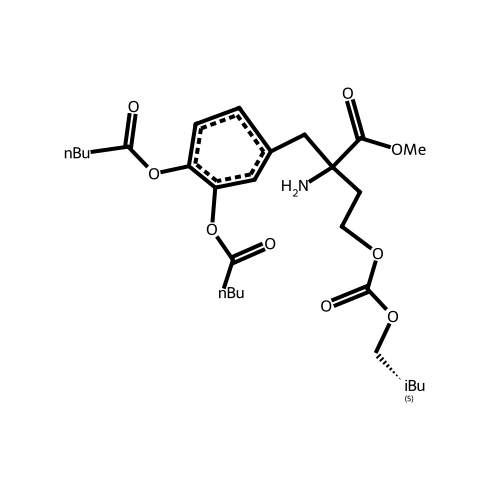 CCCCC(=O)Oc1ccc(CC(N)(CCOC(=O)OC[C@@H](C)CC)C(=O)OC)cc1OC(=O)CCCC